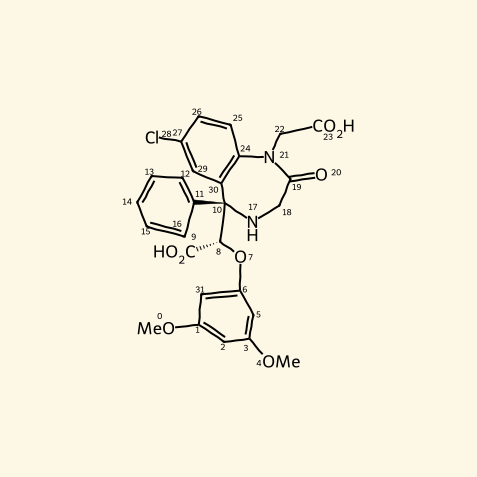 COc1cc(OC)cc(O[C@H](C(=O)O)[C@@]2(c3ccccc3)NCC(=O)N(CC(=O)O)c3ccc(Cl)cc32)c1